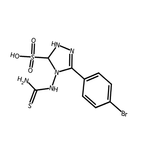 NC(=S)NN1C(c2ccc(Br)cc2)=NNC1S(=O)(=O)O